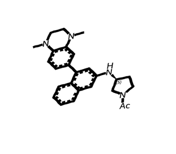 CC(=O)N1CC[C@H](Nc2cc(-c3ccc4c(c3)N(C)CCN4C)c3ccccc3c2)C1